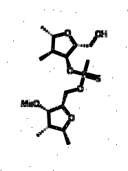 CO[C@H]1[C@@H](C)[C@H](C)O[C@@H]1COP(C)(=S)O[C@H]1[C@@H](C)[C@H](C)O[C@@H]1CO